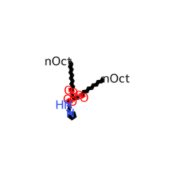 CCCCCCCCC=CCCCCCCCC(=O)OCC(COC(=O)CCCCCCCC=CCCCCCCCC)OC(=O)NCCN1CCCC1